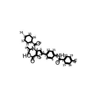 CC(C)N(c1cc(-c2ccc(NC(=O)c3ccc(F)cc3)cc2)sc1C(=O)O)C(=O)[C@H]1CC[C@H](C)CC1